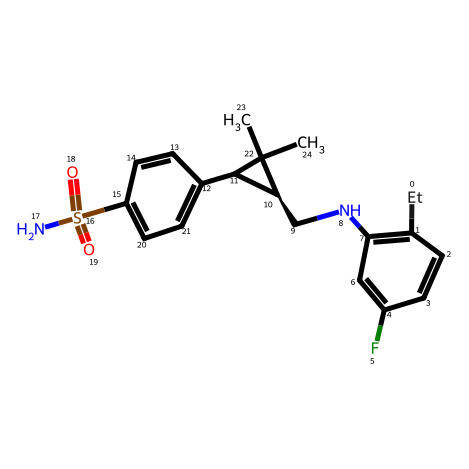 CCc1ccc(F)cc1NC[C@H]1C(c2ccc(S(N)(=O)=O)cc2)C1(C)C